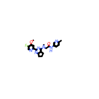 COc1cc(-c2nc3c(c(N(C)CC(=O)Nc4ccc(C)nc4)n2)CCC3)ncc1F